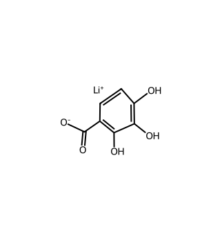 O=C([O-])c1ccc(O)c(O)c1O.[Li+]